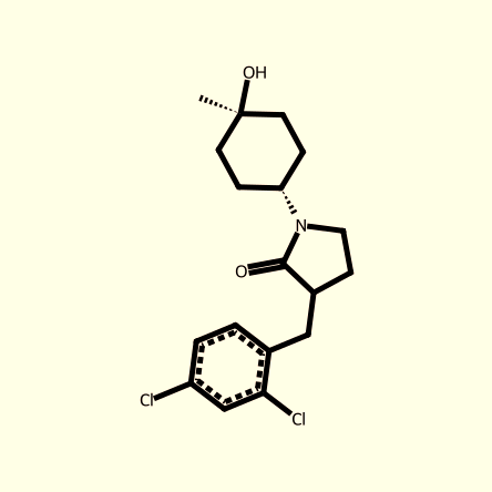 C[C@]1(O)CC[C@H](N2CCC(Cc3ccc(Cl)cc3Cl)C2=O)CC1